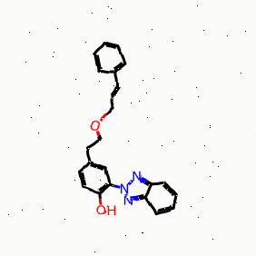 Oc1ccc(CCOC/C=C/c2ccccc2)cc1-n1nc2ccccc2n1